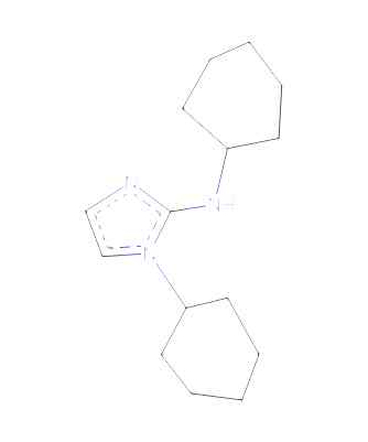 c1cn(C2CCCCC2)c(NC2CCCCC2)n1